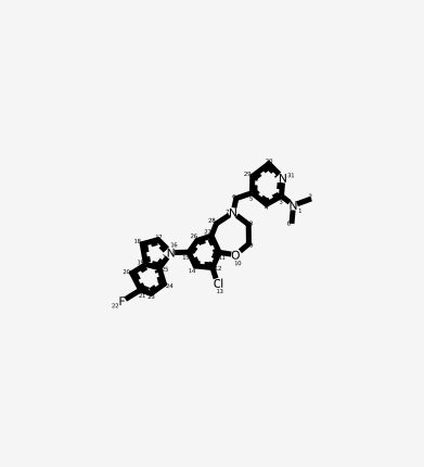 CN(C)c1cc(CN2CCOc3c(Cl)cc(-n4ccc5cc(F)ccc54)cc3C2)ccn1